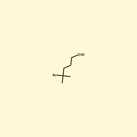 CC(=O)C(C)(C)CCCC=O